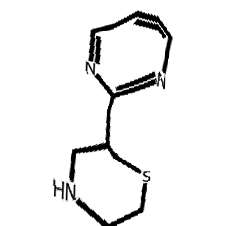 c1cnc(C2CNCCS2)nc1